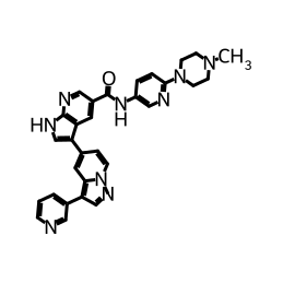 CN1CCN(c2ccc(NC(=O)c3cnc4[nH]cc(-c5ccn6ncc(-c7cccnc7)c6c5)c4c3)cn2)CC1